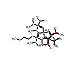 COCCNP(=N[PH](N=P(N(C)C)(N(C)C)N(C)C)(N=P(N(C)C)(N(C)C)N(C)C)N=P(N(C)C)(N(C)C)N(C)C)(N(C)C)N(C)C